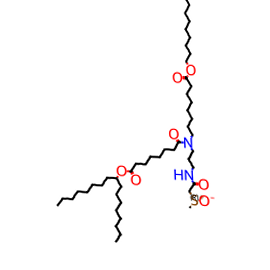 CCCCCCCCCOC(=O)CCCCCCCN(CCCNC(=O)C[S@+](C)[O-])C(=O)CCCCCCC(=O)OC(CCCCCCCC)CCCCCCCC